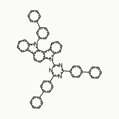 c1ccc(-c2ccc(-c3nc(-c4ccc(-c5ccccc5)cc4)nc(-n4c5ccccc5c5c4ccc4c6ccccc6n(-c6cccc(-c7ccccc7)c6)c45)n3)cc2)cc1